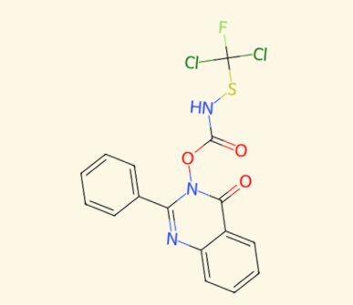 O=C(NSC(F)(Cl)Cl)On1c(-c2ccccc2)nc2ccccc2c1=O